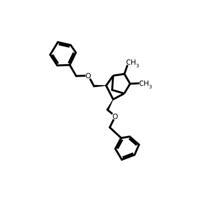 CC1C(C)C2CC1[C@@H](COCc1ccccc1)[C@H]2COCc1ccccc1